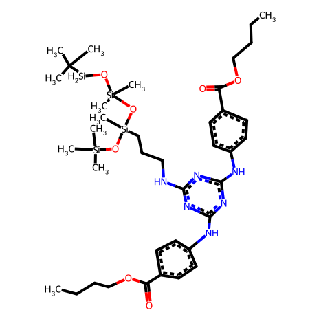 CCCCOC(=O)c1ccc(Nc2nc(NCCC[Si](C)(O[Si](C)(C)C)O[Si](C)(C)O[SiH2]C(C)(C)C)nc(Nc3ccc(C(=O)OCCCC)cc3)n2)cc1